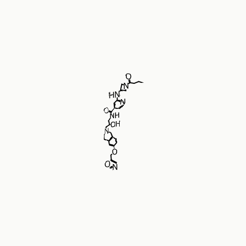 CCCC(=O)N1CC(Nc2cc(C(=O)NCC(O)CN3CCc4cc(OCc5cnco5)ccc4C3)ccn2)C1